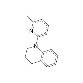 Cc1cccc(N2CCCc3ccccc32)n1